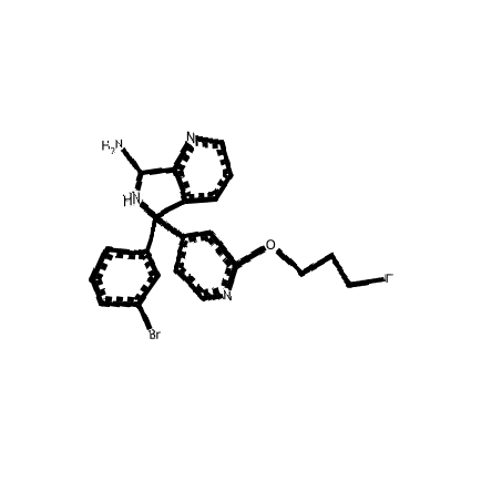 NC1NC(c2cccc(Br)c2)(c2ccnc(OCCCF)c2)c2cccnc21